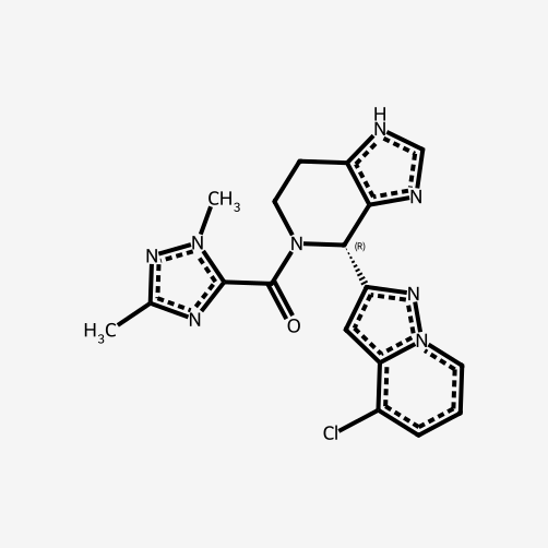 Cc1nc(C(=O)N2CCc3[nH]cnc3[C@@H]2c2cc3c(Cl)cccn3n2)n(C)n1